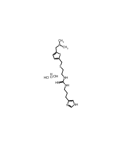 CN(C)Cc1ccc(CSCCNC(=N)NCCCc2c[nH]cn2)s1.Cl.Cl.Cl